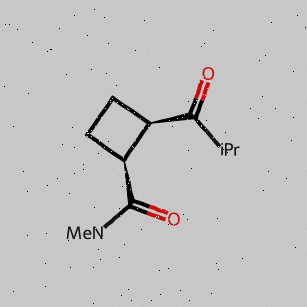 CNC(=O)[C@H]1CC[C@H]1C(=O)C(C)C